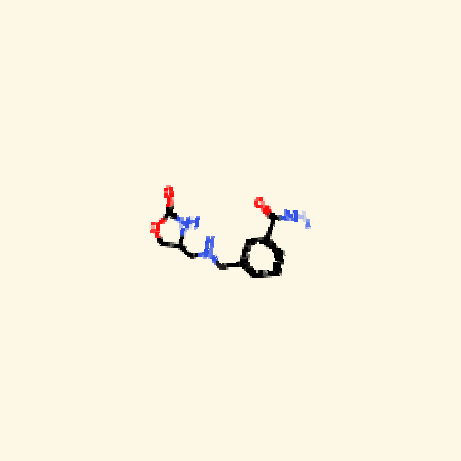 NC(=O)c1cccc(CNCC2COC(=O)N2)c1